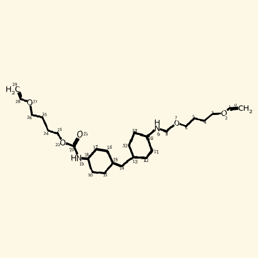 C=COCCCCOCNC1CCC(CC2CCC(NC(=O)OCCCCOC=C)CC2)CC1